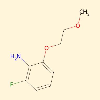 COCCOc1cccc(F)c1N